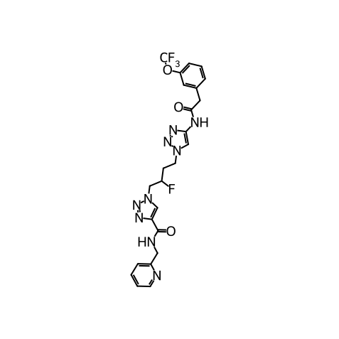 O=C(Cc1cccc(OC(F)(F)F)c1)Nc1cn(CCC(F)Cn2cc(C(=O)NCc3ccccn3)nn2)nn1